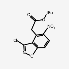 CC(C)(C)OC(=O)Cc1c([N+](=O)[O-])ccc2onc(Cl)c12